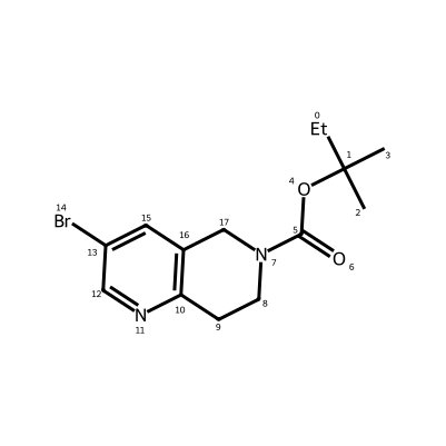 CCC(C)(C)OC(=O)N1CCc2ncc(Br)cc2C1